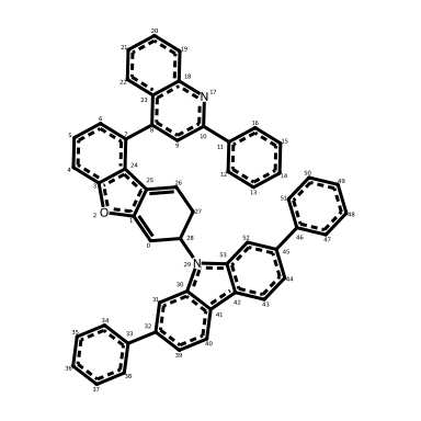 C1=c2oc3cccc(-c4cc(-c5ccccc5)nc5ccccc45)c3c2=CCC1n1c2cc(-c3ccccc3)ccc2c2ccc(-c3ccccc3)cc21